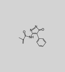 C=C(C)C(=O)NC1=C(c2ccccc2)C(=O)N=N1